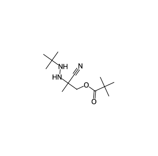 CC(C)(C)NNC(C)(C#N)COC(=O)C(C)(C)C